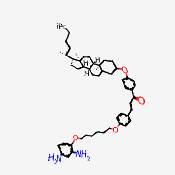 CC(C)CCC[C@@H](C)[C@H]1CC[C@H]2[C@@H]3CCC4CC(Oc5ccc(C(=O)C=Cc6ccc(OCCCCCCOc7ccc(N)cc7N)cc6)cc5)CC[C@]4(C)[C@H]3CC[C@]12C